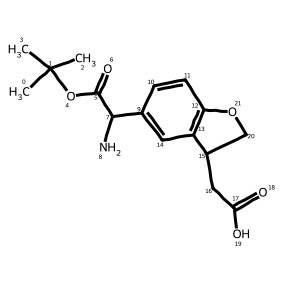 CC(C)(C)OC(=O)C(N)c1ccc2c(c1)C(CC(=O)O)CO2